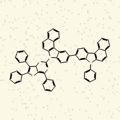 c1ccc(C2=C3SC(c4ccccc4)=C(c4ccccc4)C3NC(n3c4ccc(-c5ccc6c7c8ccccc8ccc7n(-c7ccccc7)c6c5)cc4c4c5ccccc5ccc43)=N2)cc1